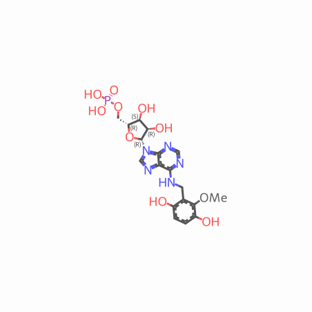 COc1c(O)ccc(O)c1CNc1ncnc2c1ncn2[C@@H]1O[C@H](COP(=O)(O)O)[C@@H](O)[C@H]1O